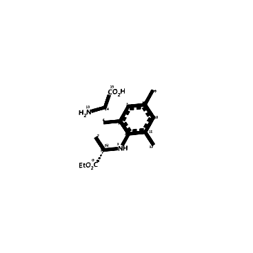 CCOC(=O)[C@H](C)Nc1c(C)cc(C)cc1C.NCC(=O)O